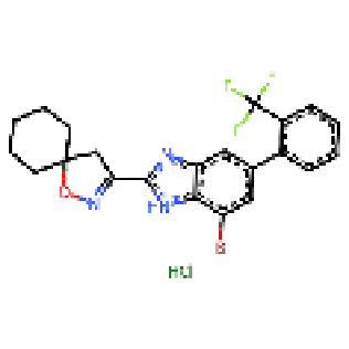 Cl.FC(F)(F)c1ccccc1-c1cc(Br)c2[nH]c(C3=NOC4(CCCCC4)C3)nc2c1